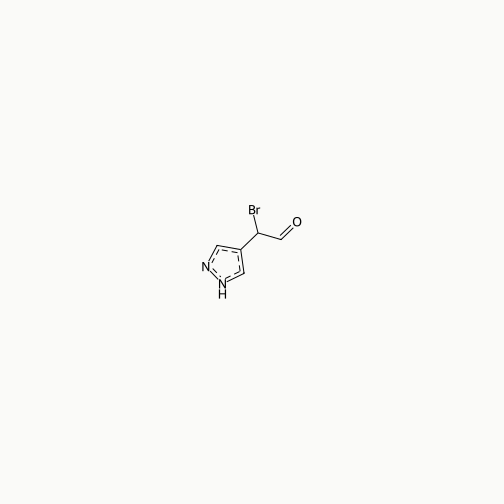 O=CC(Br)c1cn[nH]c1